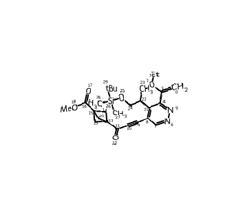 C=C(OCC)c1nncc(C#CC(=O)C23CC(C(=O)OC)(C2)C3)c1C(C)CO[Si](C)(C)C(C)(C)C